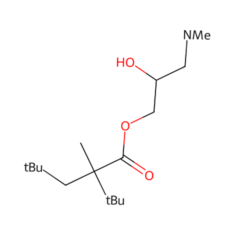 CNCC(O)COC(=O)C(C)(CC(C)(C)C)C(C)(C)C